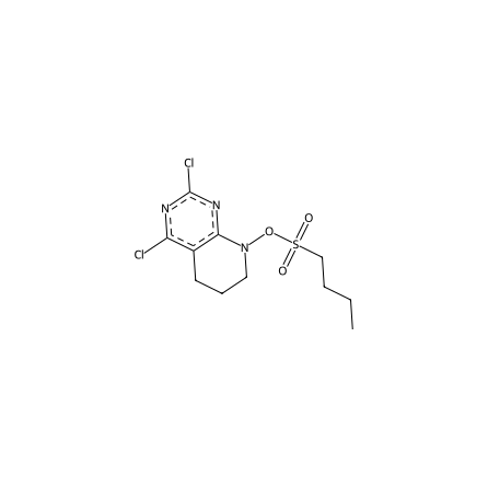 CCCCS(=O)(=O)ON1CCCc2c(Cl)nc(Cl)nc21